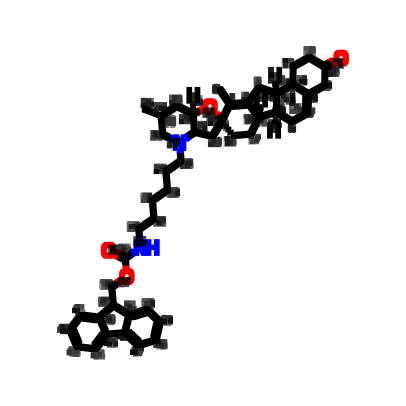 CC1=C2C[C@H]3[C@@H](CC=C4CC(=O)CC[C@@]43C)[C@@H]2CC[C@@]12CC1[C@@H](C[C@H](C)CN1CCCCCCNC(=O)OCC1c3ccccc3-c3ccccc31)O2